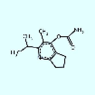 Cc1c(C(C)C)nc2c(c1OC(N)=O)CCC2